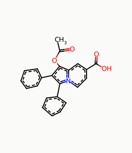 CC(=O)Oc1c(-c2ccccc2)c(-c2ccccc2)n2ccc(C(=O)O)cc12